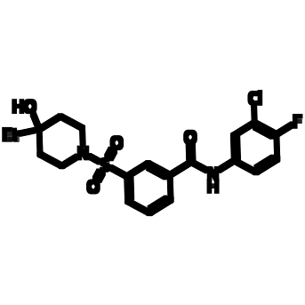 CCC1(O)CCN(S(=O)(=O)c2cccc(C(=O)Nc3ccc(F)c(Cl)c3)c2)CC1